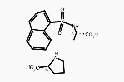 C[C@H](NS(=O)(=O)c1cccc2ccccc12)C(=O)O.O=C(O)[C@@H]1CCCN1